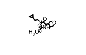 COC(=O)N[C@H](C(=O)NCCC1CC1)C1CCOCC1